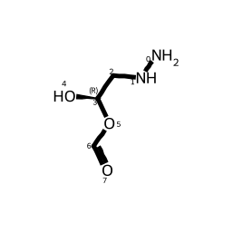 NNC[C@H](O)OC=O